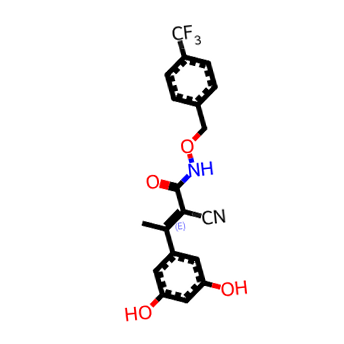 C/C(=C(/C#N)C(=O)NOCc1ccc(C(F)(F)F)cc1)c1cc(O)cc(O)c1